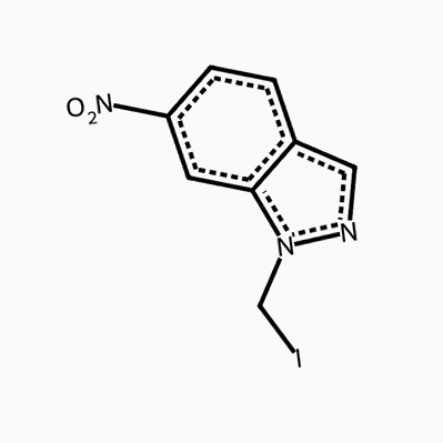 O=[N+]([O-])c1ccc2cnn(CI)c2c1